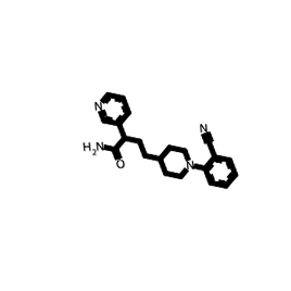 N#Cc1ccccc1N1CCC(CCC(C(N)=O)c2cccnc2)CC1